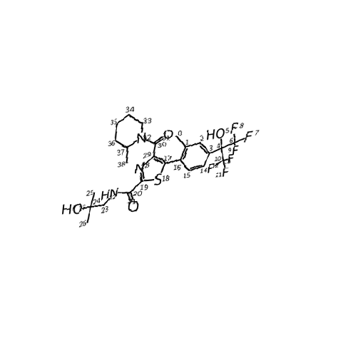 Cc1cc(C(O)(C(F)(F)F)C(F)(F)F)ccc1-c1sc(C(=O)NCC(C)(C)O)nc1C(=O)N1CCCCC1C